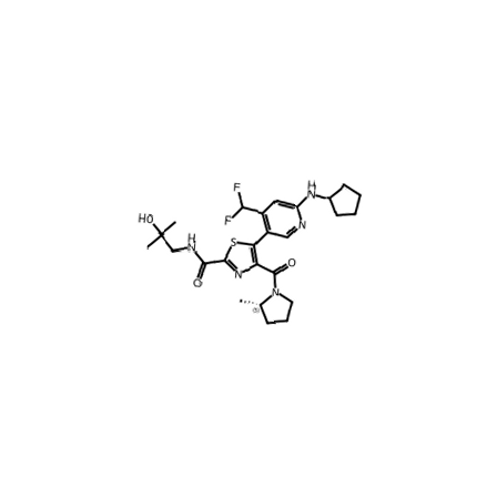 C[C@H]1CCCN1C(=O)c1nc(C(=O)NCC(C)(C)O)sc1-c1cnc(NC2CCCC2)cc1C(F)F